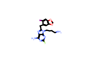 NCCCCn1c(Cc2cc3c(cc2I)OCO3)nc2c(N)nc(F)nc21